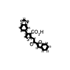 O=C(Cc1scc(-c2ccc3scnc3c2)c1C(=O)O)c1cc2ccccc2o1